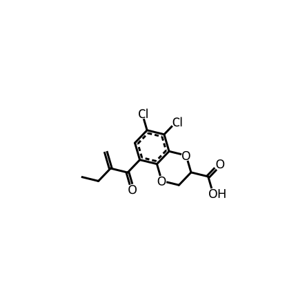 C=C(CC)C(=O)c1cc(Cl)c(Cl)c2c1OCC(C(=O)O)O2